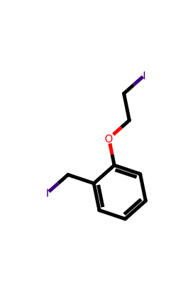 ICCOc1ccccc1CI